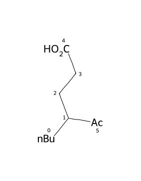 CCCCC(CCC(=O)O)C(C)=O